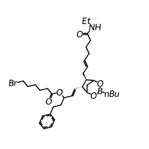 CCCCB1OC2CC(O1)[C@H](CC=CCCCC(=O)NCC)[C@H]2C=CC(CCc1ccccc1)OC(=O)CCCCCBr